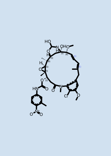 COc1cc2cc(c1Cl)N(C)C(=O)C[C@H](OC(=O)Nc1ccc([N+](=O)[O-])c(C)c1)[C@]1(C)O[C@H]1[C@H](C)[C@@H]1C[C@@](O)(NC(O)O1)[C@H](OC)/C=C/C=C(\C)C2